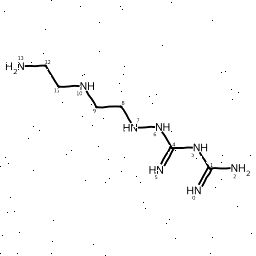 N=C(N)NC(=N)NNCCNCCN